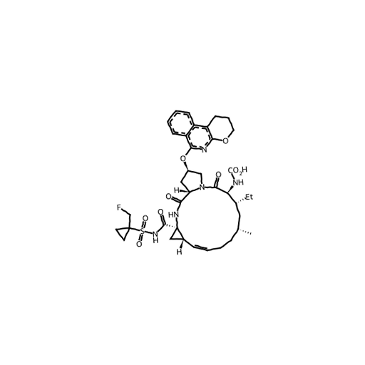 CC[C@@H]1C[C@H](C)CCC=C[C@@H]2C[C@@]2(C(=O)NS(=O)(=O)C2(CF)CC2)NC(=O)[C@@H]2C[C@@H](Oc3nc4c(c5ccccc35)CCCO4)CN2C(=O)[C@H]1NC(=O)O